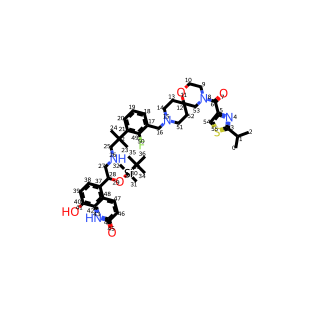 CC(C)c1nc(C(=O)N2CCOC3(CCN(Cc4cccc(C(C)(C)CNCC(O[Si](C)(C)C(C)(C)C)c5ccc(O)c6[nH]c(=O)ccc56)c4F)CC3)C2)cs1